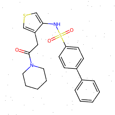 O=C(Cc1cscc1NS(=O)(=O)c1ccc(-c2ccccc2)cc1)N1CCCCC1